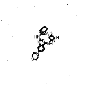 Cc1cc(Nc2nc(NC3CC4CCC(C3)N4C(=O)O)nc3cc(N4CCOCC4)ccc23)n[nH]1